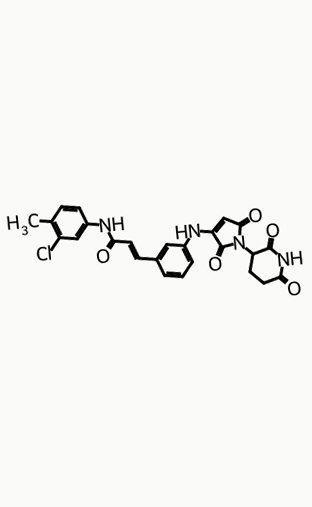 Cc1ccc(NC(=O)C=Cc2cccc(NC3=CC(=O)N(C4CCC(=O)NC4=O)C3=O)c2)cc1Cl